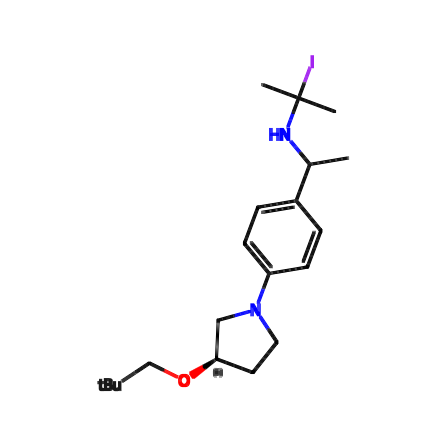 CC(NC(C)(C)I)c1ccc(N2CC[C@@H](OCC(C)(C)C)C2)cc1